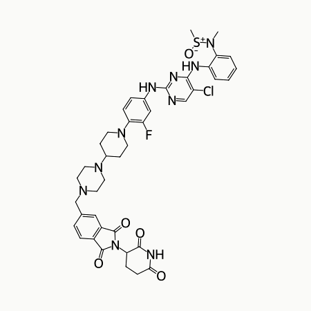 CN(c1ccccc1Nc1nc(Nc2ccc(N3CCC(N4CCN(Cc5ccc6c(c5)C(=O)N(C5CCC(=O)NC5=O)C6=O)CC4)CC3)c(F)c2)ncc1Cl)[S+](C)[O-]